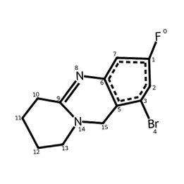 Fc1cc(Br)c2c(c1)N=C1CCCCN1C2